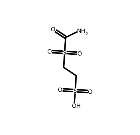 NC(=O)S(=O)(=O)CCS(=O)(=O)O